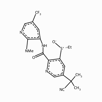 CC[S@@+]([O-])c1cc(C(C)(C)C#N)cnc1C(=O)Nc1cc(C(F)(F)F)cnc1NC